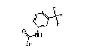 CC(F)(F)c1cc(NC(=O)O)ccn1